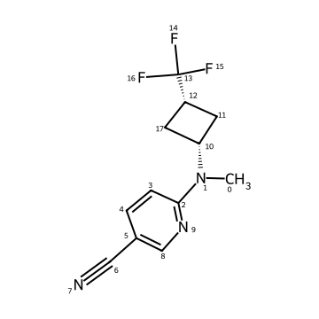 CN(c1ccc(C#N)cn1)[C@H]1C[C@@H](C(F)(F)F)C1